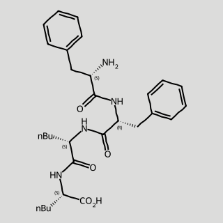 CCCC[C@H](NC(=O)[C@H](CCCC)NC(=O)[C@@H](Cc1ccccc1)NC(=O)[C@@H](N)Cc1ccccc1)C(=O)O